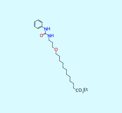 CCOC(=O)CCCCCCCCCCCOCCCNC(=O)Nc1ccccc1